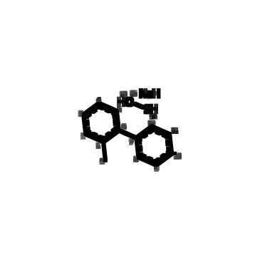 Cc1ccccc1-c1cc[c]cc1.OS.[NaH]